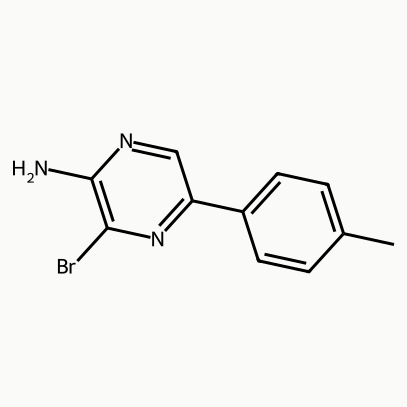 Cc1ccc(-c2cnc(N)c(Br)n2)cc1